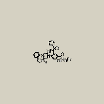 CCCNC(=O)c1ccc(N2CCN(c3ccccc3C)CC2)c(NC(=O)c2cccs2)c1